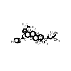 C=C(C)[C@@H]1CC[C@]2(CC(=O)N3CC4CC3CN4)CC[C@]3(C)[C@H](CC[C@@H]4[C@@]5(C)CC[C@H](OC(=O)CC(C)(C)CC(C)=O)C(C)(C)[C@@H]5CC[C@]43C)[C@@H]12